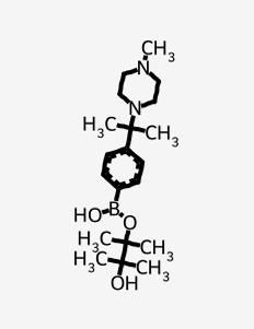 CN1CCN(C(C)(C)c2ccc(B(O)OC(C)(C)C(C)(C)O)cc2)CC1